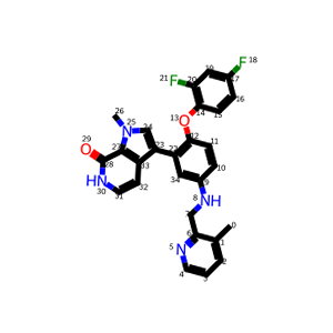 Cc1cccnc1CNc1ccc(Oc2ccc(F)cc2F)c(-c2cn(C)c3c(=O)[nH]ccc23)c1